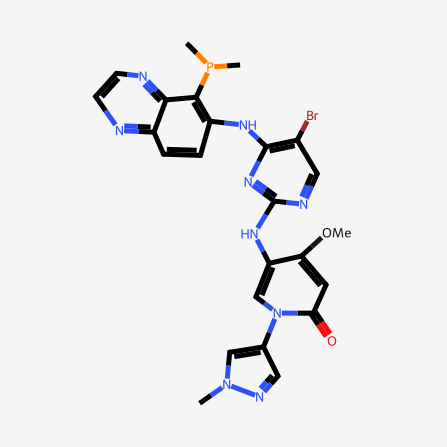 COc1cc(=O)n(-c2cnn(C)c2)cc1Nc1ncc(Br)c(Nc2ccc3nccnc3c2P(C)C)n1